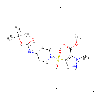 COC(=O)c1c(S(=O)(=O)N2CCC(NC(=O)OC(C)(C)C)CC2)cnn1C